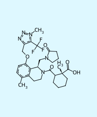 Cc1ccc(OCc2nnn(C)c2C(F)(F)F)c2c1CCN(C(=O)C1CCCC[C@@]1(C)C(=O)O)[C@@H]2CN1CCCC1=O